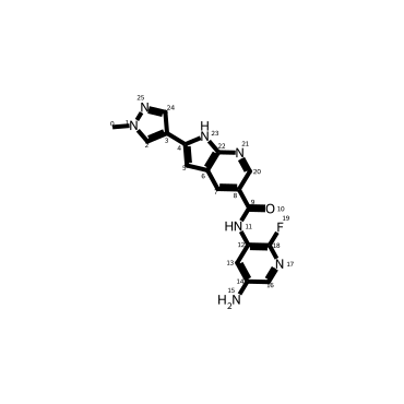 Cn1cc(-c2cc3cc(C(=O)Nc4cc(N)cnc4F)cnc3[nH]2)cn1